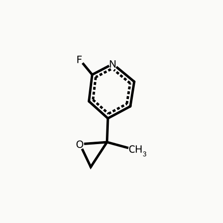 CC1(c2ccnc(F)c2)CO1